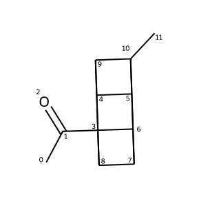 CC(=O)C12C3C4C1C1C2C3C41C